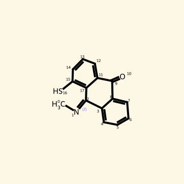 C/N=C1/c2ccccc2C(=O)c2cccc(S)c21